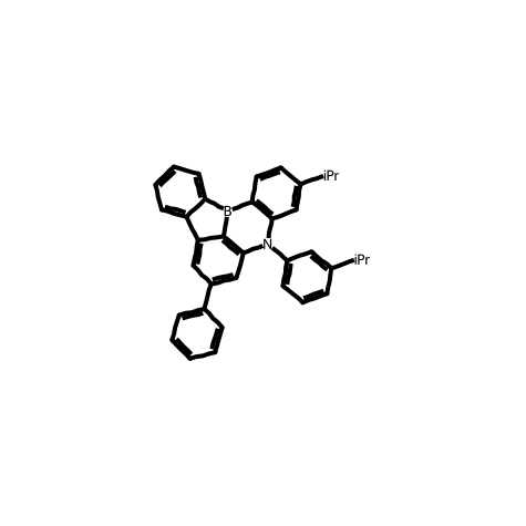 CC(C)c1cccc(N2c3cc(C(C)C)ccc3B3c4ccccc4-c4cc(-c5ccccc5)cc2c43)c1